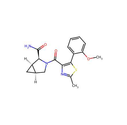 COc1ccccc1-c1sc(C)nc1C(=O)N1C[C@H]2C[C@H]2[C@H]1C(N)=O